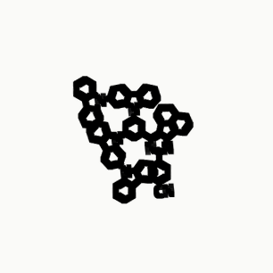 N#Cc1ccc(-c2nc(-c3cc(-n4c5ccccc5c5ccc(-n6c7ccccc7c7ccccc76)cc54)cc(-n4c5ccccc5c5ccc(-n6c7ccccc7c7ccccc76)cc54)c3)c3c(n2)-c2cccc4cccc-3c24)cc1